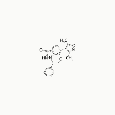 Cc1noc(C)c1-c1ccc2c(=O)[nH]n3c2c1OCC3c1ccccc1